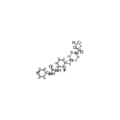 CCS(=O)(=O)N1CCN(Cc2cccc(NC(=O)Nc3ccncc3)c2F)CC1